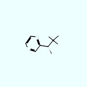 C[C@@H](c1cnccn1)C(F)(F)F